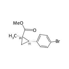 COC(=O)[C@]1(C)C[C@H]1c1ccc(Br)cc1